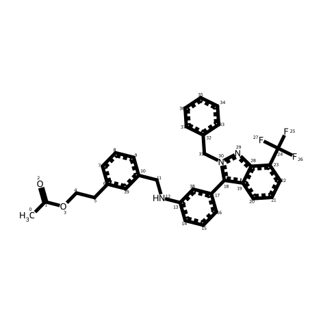 CC(=O)OCCc1cccc(CNc2cccc(-c3c4cccc(C(F)(F)F)c4nn3Cc3ccccc3)c2)c1